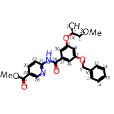 COC[C@H](C)Oc1cc(OCc2ccccc2)cc(C(=O)Nc2ccc(C(=O)OC)cn2)c1